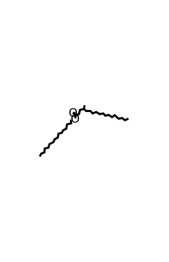 CCCCCCCCCCCCCCCCOC(=O)CCC(C)CCCCCCCCCCCCCC